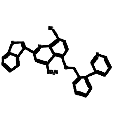 CCc1ccc(OCc2ccccc2-c2cccnc2)c2c(C(=O)O)cc(-c3csc4ccccc34)nc12